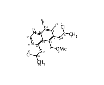 COCc1c(SC(C)Cl)c(I)c(F)c2ncnc(SC(C)Cl)c12